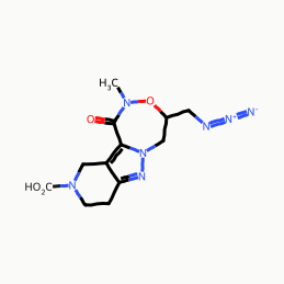 CN1OC(CN=[N+]=[N-])Cn2nc3c(c2C1=O)CN(C(=O)O)CC3